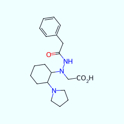 O=C(O)CN(NC(=O)Cc1ccccc1)C1CCCCC1N1CCCC1